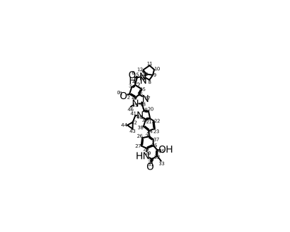 COc1cc(C(=O)N2CC3CCC2C3N)cc2nc(-c3cc4ccc(-c5ccc6[nH]c(=O)c(C)c(O)c6c5)cc4n3CC3CC3)n(C)c12